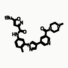 Cc1ccc(NC(=O)c2cc(C(C)(C)C)on2)cc1-n1cc(-c2cncc(C(=O)N3CCN(C)CC3)c2)cn1